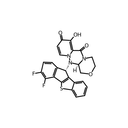 O=C1c2c(O)c(=O)ccn2N([C@H]2c3ccc(F)c(F)c3-c3sc4ccccc4c32)[C@@H]2COCCN12